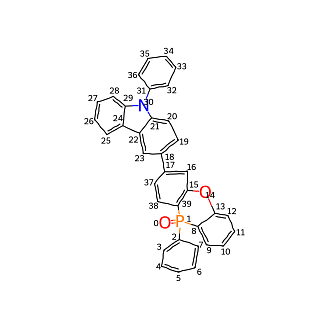 O=P1(c2ccccc2)c2ccccc2Oc2cc(-c3ccc4c(c3)c3ccccc3n4-c3ccccc3)ccc21